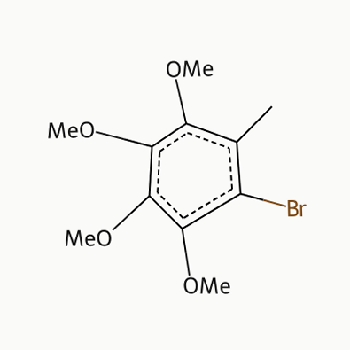 COc1c(C)c(Br)c(OC)c(OC)c1OC